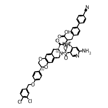 Cc1cc(N)ncc1S(=O)(=O)N1Cc2cc3c(cc2C[C@H]1C(=O)NC(Cc1ccc(-c2ccc(C#N)cc2)cc1)C(=O)O)OC[C@H](c1ccc(OCc2ccc(Cl)c(Cl)c2)cc1)O3